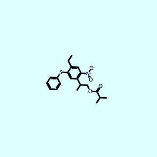 CCc1cc([N+](=O)[O-])c(C(C)COC(=O)C(C)C)cc1Sc1ccccc1